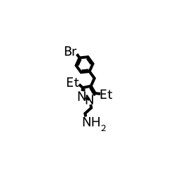 CCc1nn(CCN)c(CC)c1Cc1ccc(Br)cc1